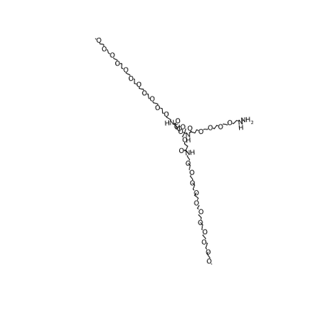 COCCOCCOCCOCCOCCOCCOCCOCCOCCOCCOCCNC(=O)CCOCC(CO)(NC(=O)CCOCCOCCOCCOCCNN)OCCC(=O)NCCOCCOCCOCCOCCOCCOCCOCCOCCOCCOCCOC